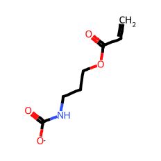 C=CC(=O)OCCCNC([O])=O